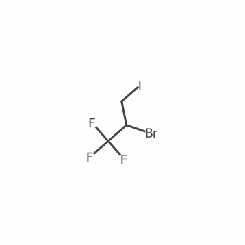 FC(F)(F)C(Br)CI